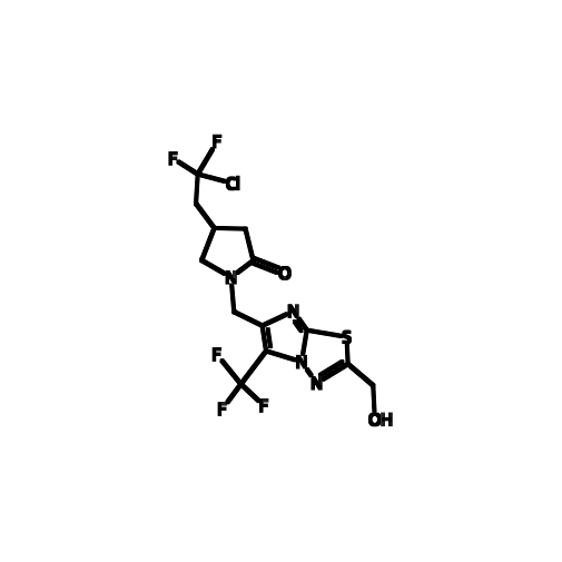 O=C1CC(CC(F)(F)Cl)CN1Cc1nc2sc(CO)nn2c1C(F)(F)F